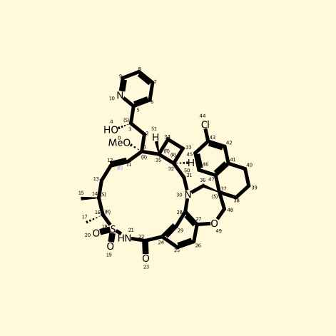 CO[C@@]1(C[C@H](O)c2ccccn2)/C=C/C[C@H](C)[C@@H](C)S(=O)(=O)NC(=O)c2ccc3c(c2)N(C[C@@H]2CC[C@H]21)C[C@@]1(CCCc2cc(Cl)ccc21)CO3